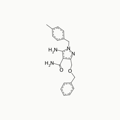 Cc1ccc(Cn2nc(COCc3ccccc3)c(C(N)=O)c2N)cc1